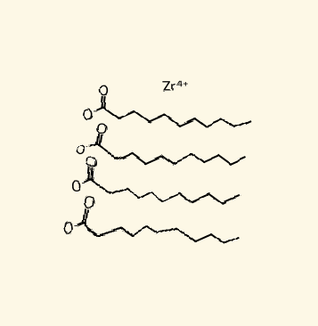 CCCCCCCCCCC(=O)[O-].CCCCCCCCCCC(=O)[O-].CCCCCCCCCCC(=O)[O-].CCCCCCCCCCC(=O)[O-].[Zr+4]